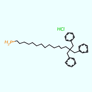 Cl.PCCCCCCCCCCCCCC(Cc1ccccc1)(Cc1ccccc1)Cc1ccccc1